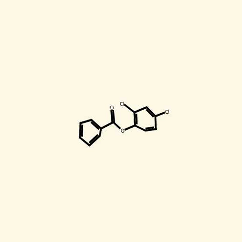 O=C(Oc1ccc(Cl)cc1Cl)c1ccccc1